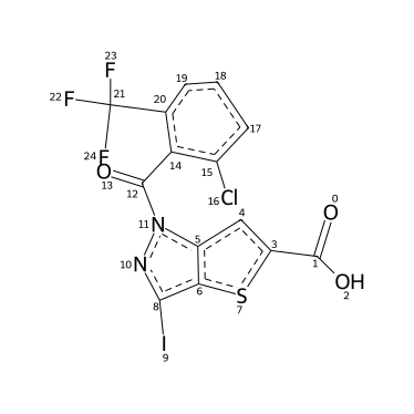 O=C(O)c1cc2c(s1)c(I)nn2C(=O)c1c(Cl)cccc1C(F)(F)F